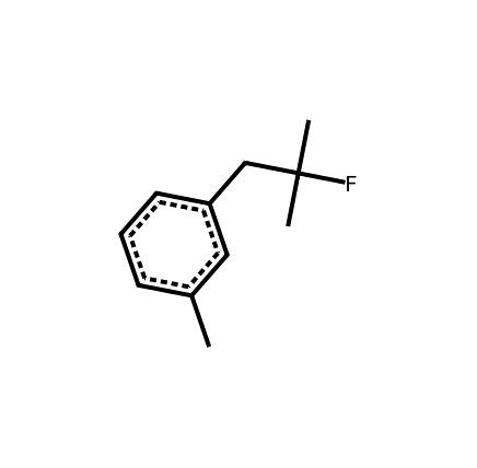 Cc1cccc(CC(C)(C)F)c1